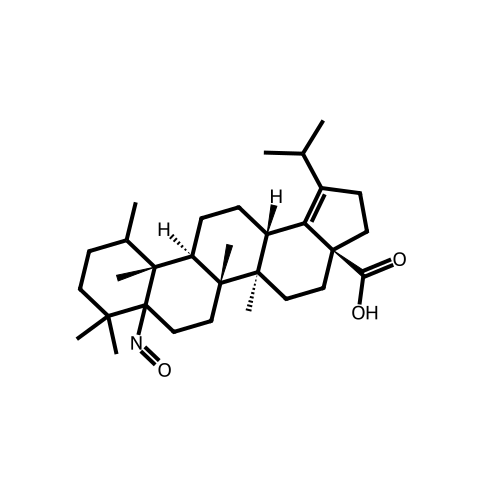 CC(C)C1=C2[C@H]3CC[C@@H]4[C@@]5(C)C(C)CCC(C)(C)C5(N=O)CC[C@@]4(C)[C@]3(C)CC[C@@]2(C(=O)O)CC1